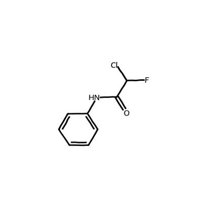 O=C(Nc1ccccc1)C(F)Cl